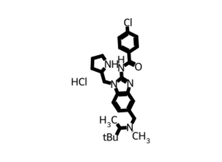 CC(N(C)Cc1ccc2c(c1)nc(NC(=O)c1ccc(Cl)cc1)n2CC1CCCN1)C(C)(C)C.Cl